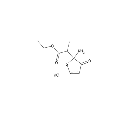 CCOC(=O)C(C)C1(N)SC=CC1=O.Cl